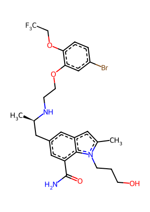 Cc1cc2cc(C[C@@H](C)NCCOc3cc(Br)ccc3OCC(F)(F)F)cc(C(N)=O)c2n1CCCO